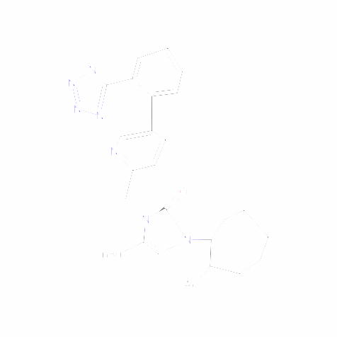 CCCCc1cn(C2CCCCCC2C(C)=O)c(=O)n1Cc1ccc(-c2ccccc2-c2nnn[nH]2)cn1